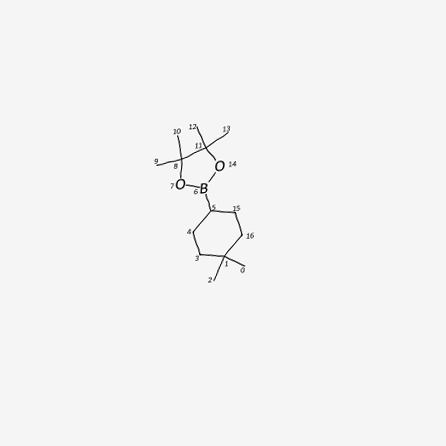 CC1(C)CCC(B2OC(C)(C)C(C)(C)O2)CC1